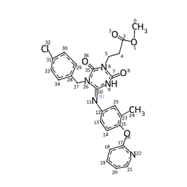 COC(=O)CCn1c(=O)[nH]/c(=N\c2ccc(Oc3ccccn3)c(C)c2)n(Cc2ccc(Cl)cc2)c1=O